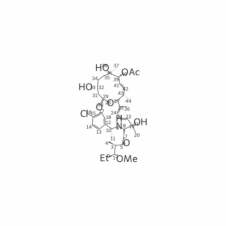 CC[C@H](OC)[C@@H](C)[C@H]1O[C@@H]1C(N[C@H](C)c1ccc(Cl)cc1)C(C)(O)/C=C/C=C(\C)C1OC(=O)C[C@H](O)CC[C@@](C)(O)[C@@H](OC(C)=O)/C=C/[C@@H]1C